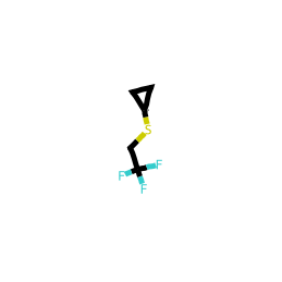 FC(F)(F)CS[C]1CC1